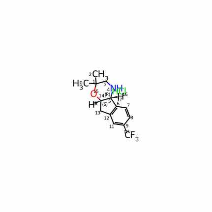 CC1(C)CN[C@@H]2c3ccc(C(F)(F)F)cc3C[C@@H]2O1.Cl